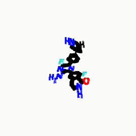 Nc1nc(F)c(-c2ccc([C@]34CNC[C@H]3C4)cc2)nc1-c1cc(F)c2c(c1)CCNC2=O